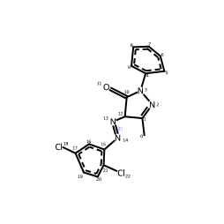 CC1=NN(c2ccccc2)C(=O)C1/N=N/c1cc(Cl)ccc1Cl